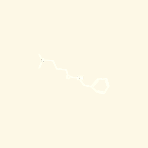 CN(C)CCCONCc1ccccc1